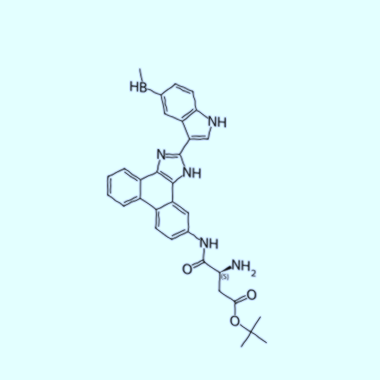 CBc1ccc2[nH]cc(-c3nc4c5ccccc5c5ccc(NC(=O)[C@@H](N)CC(=O)OC(C)(C)C)cc5c4[nH]3)c2c1